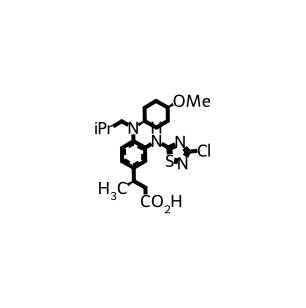 CO[C@H]1CC[C@@H](N(CC(C)C)c2ccc([C@H](C)CC(=O)O)cc2Nc2nc(Cl)ns2)CC1